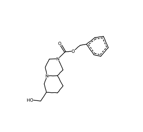 O=C(OCc1ccccc1)N1CCN2CC(CO)CCC2C1